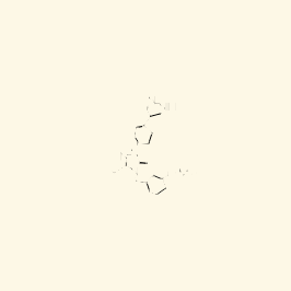 COc1cccc(Cn2c(CO)nn(-c3ccc(-c4cn[nH]c4)cc3)c2=O)c1